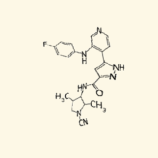 CC1CN(C#N)C(C)[C@@H]1NC(=O)c1cc(-c2ccncc2Nc2ccc(F)cc2)[nH]n1